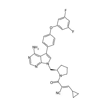 N#C/C(=C\C1CC1)C(=O)N1CCC[C@@H]1Cn1cc(-c2ccc(Oc3cc(F)cc(F)c3)cc2)c2c(N)ncnc21